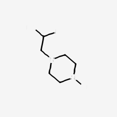 C[C](F)CN1CCN(C)CC1